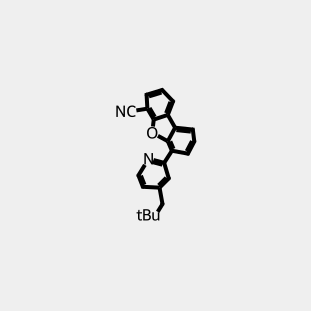 CC(C)(C)Cc1ccnc(-c2cccc3c2oc2c(C#N)cccc23)c1